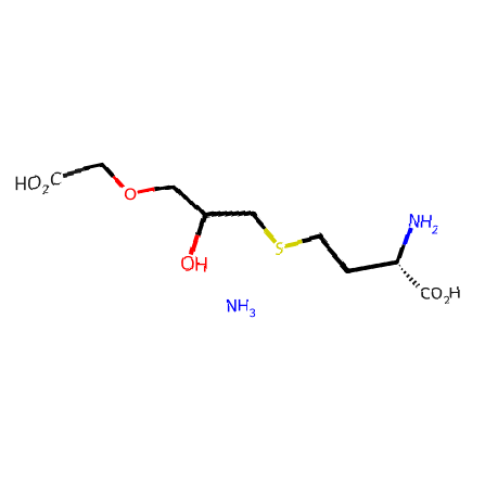 N.N[C@@H](CCSCC(O)COCC(=O)O)C(=O)O